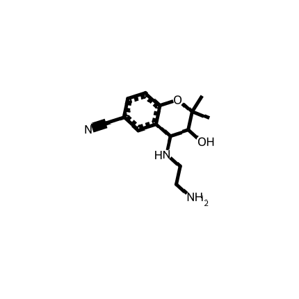 CC1(C)Oc2ccc(C#N)cc2C(NCCN)C1O